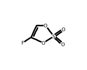 O=S1(=O)OC=C(F)O1